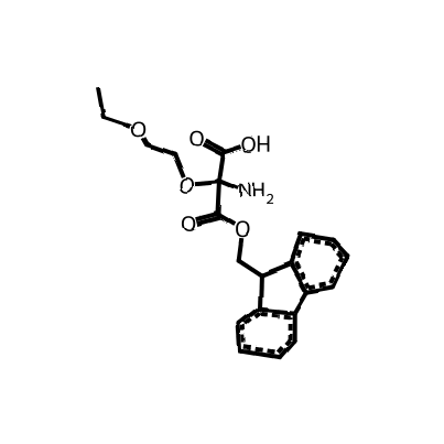 CCOCCOC(N)(C(=O)O)C(=O)OCC1c2ccccc2-c2ccccc21